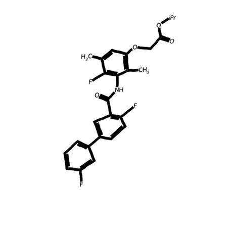 Cc1cc(OCC(=O)OC(C)C)c(C)c(NC(=O)c2cc(-c3cccc(F)c3)ccc2F)c1F